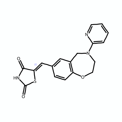 O=C1NC(=O)/C(=C/c2ccc3c(c2)CN(c2ccccn2)CCO3)S1